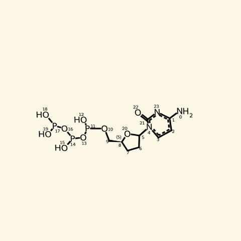 Nc1ccn(C2CC[C@@H](COP(O)OP(O)OP(O)O)O2)c(=O)n1